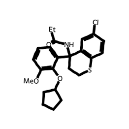 CCC(=O)NC1(c2cccc(OC)c2OC2CCCC2)CCSc2ccc(Cl)cc21